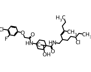 CCC/C(C)=C/C(CCC(Cl)CC)CNC(=O)C12CCC(NC(=O)COc3ccc(Cl)c(F)c3)(CC1)CC2O